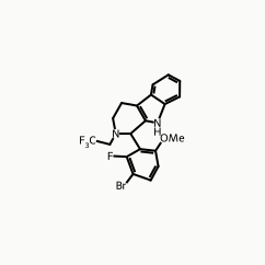 COc1ccc(Br)c(F)c1C1c2[nH]c3ccccc3c2CCN1CC(F)(F)F